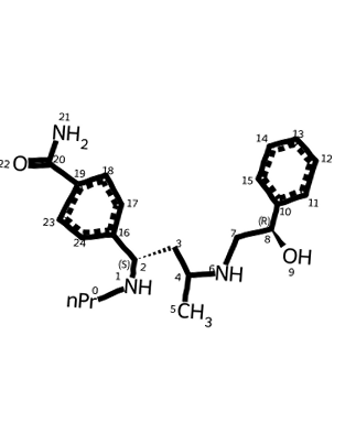 CCCN[C@@H](CC(C)NC[C@H](O)c1ccccc1)c1ccc(C(N)=O)cc1